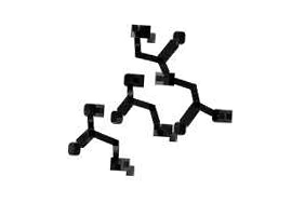 NCC(=O)NCC(=O)O.NCC(=O)O.NCC(=O)O